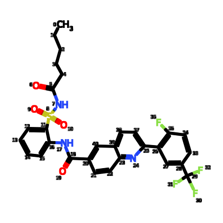 CCCCCC(=O)NS(=O)(=O)c1ccccc1NC(=O)c1ccc2nc(-c3cc(C(F)(F)F)ccc3F)ccc2c1